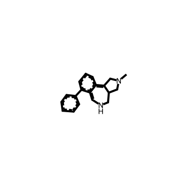 CN1CC2=c3cccc(-c4ccccc4)c3=CNCC2C1